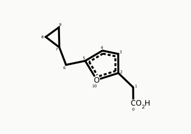 O=C(O)Cc1ccc(CC2CC2)o1